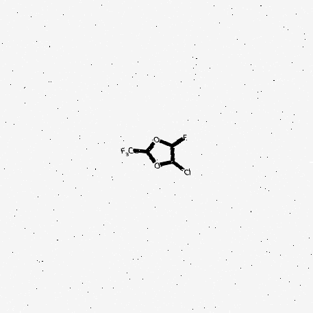 FC1OC(C(F)(F)F)OC1Cl